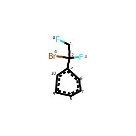 FCC(F)(Br)c1ccccc1